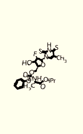 Cc1cn([C@H]2O[C@@H](COP(=O)(N[C@@H](C)C(=O)OC(C)C)Oc3ccccc3)C(O)[C@H]2F)c(=S)[nH]c1=S